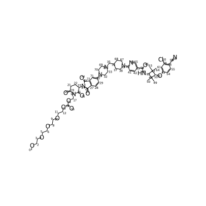 COCCOCCOCCOCCOC(=O)OCN1C(=O)CCC(N2C(=O)c3ccc(N4CCN(CC5CCN(c6ccc(C(=O)N[C@H]7C(C)(C)[C@H](Oc8ccc(C#N)c(Cl)c8)C7(C)C)cn6)CC5)CC4)cc3C2=O)C1=O